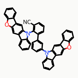 N#Cc1cccc(-c2cccc(-n3c4ccccc4c4cc5oc6ccccc6c5cc43)c2)c1-n1c2ccccc2c2cc3oc4ccccc4c3cc21